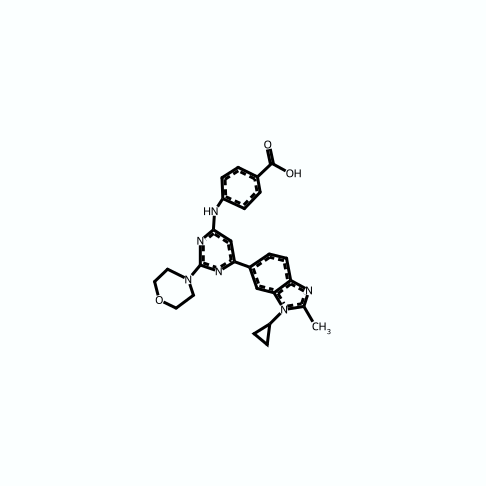 Cc1nc2ccc(-c3cc(Nc4ccc(C(=O)O)cc4)nc(N4CCOCC4)n3)cc2n1C1CC1